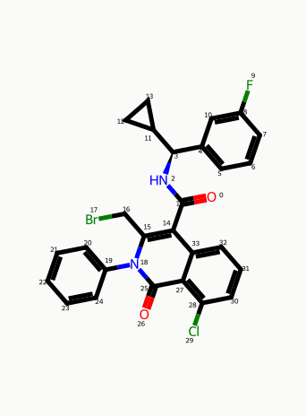 O=C(N[C@H](c1cccc(F)c1)C1CC1)c1c(CBr)n(-c2ccccc2)c(=O)c2c(Cl)cccc12